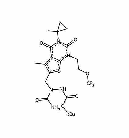 Cc1c(CN(NC(=O)OC(C)(C)C)C(N)=O)sc2c1c(=O)n(C1(C)CC1)c(=O)n2CCOC(F)(F)F